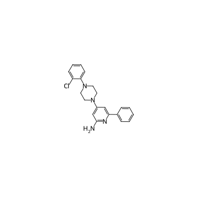 Nc1cc(N2CCN(c3ccccc3Cl)CC2)cc(-c2ccccc2)n1